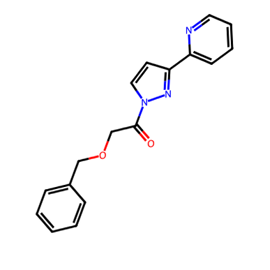 O=C(COCc1ccccc1)n1ccc(-c2ccccn2)n1